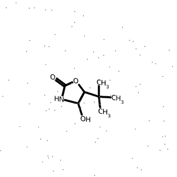 CC(C)(C)C1OC(=O)NC1O